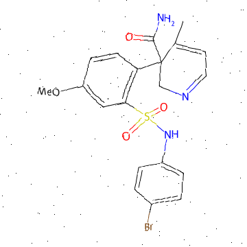 COc1ccc(C2(C(N)=O)CN=CC=C2C)c(S(=O)(=O)Nc2ccc(Br)cc2)c1